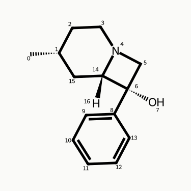 C[C@@H]1CCN2C[C@@](O)(c3ccccc3)[C@@H]2C1